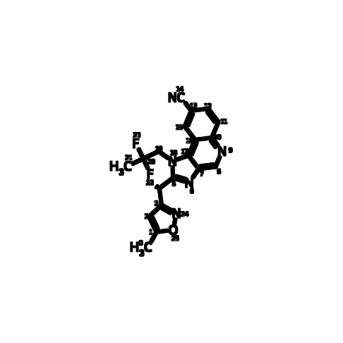 Cc1cc(Cc2nc3cnc4ccc(C#N)cc4c3n2CC(C)(F)F)no1